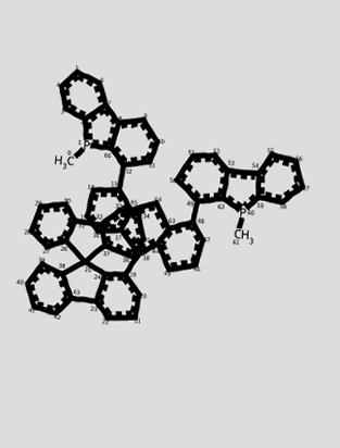 Cp1c2ccccc2c2cccc(-c3cccc4c(-c5cccc6c5C5(c7ccccc7-c7ccccc75)c5ccccc5-6)c5cccc(-c6cccc7c8ccccc8p(C)c67)c5cc34)c21